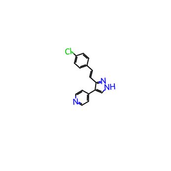 Clc1ccc(C=Cc2n[nH]cc2-c2ccncc2)cc1